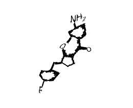 Nc1ccc2c(=O)c3c(oc2c1)C(=Cc1ccc(F)cc1)CC3